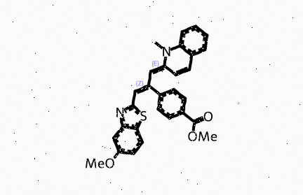 COC(=O)c1ccc(C(=C\c2nc3cc(OC)ccc3s2)/C=C2\C=Cc3ccccc3N2C)cc1